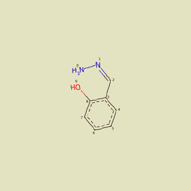 N/N=C\c1ccccc1O